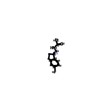 CCC(=O)N/N=C1\CCc2cc(F)ccc21